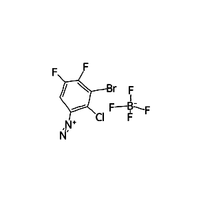 F[B-](F)(F)F.N#[N+]c1cc(F)c(F)c(Br)c1Cl